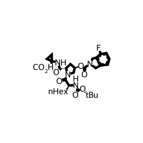 CCCCCC[C@H](NC(=O)OC(C)(C)C)C(=O)N1C[C@H](OC(=O)N2Cc3cccc(F)c3C2)C[C@H]1C(=O)NC1(C(=O)O)CC1